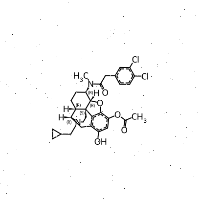 CC(=O)Oc1cc(O)c2c3c1O[C@H]1[C@H](N(C)C(=O)Cc4ccc(Cl)c(Cl)c4)CC[C@H]4[C@@H](C2)N(CC2CC2)CC[C@@]341